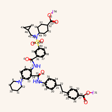 O=C(Nc1ccc(N2CCCCC2)cc1C(=O)Nc1ccc(CCc2ccc(C(=O)OI)cc2)cc1)c1cccc(S(=O)(=O)N(CC2CC2)C2CCC(C(=O)OI)CC2)c1